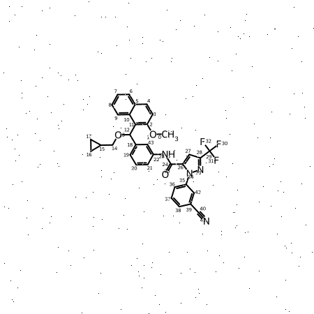 COc1ccc2ccccc2c1C(OCC1CC1)c1cccc(NC(=O)c2cc(C(F)(F)F)nn2-c2cccc(C#N)c2)c1